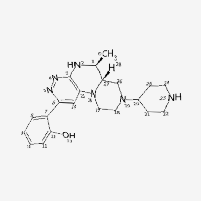 C[C@@H]1Nc2nnc(-c3ccccc3O)cc2N2CCN(C3CCNCC3)C[C@@H]12